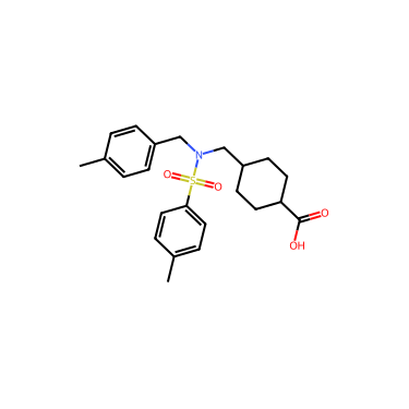 Cc1ccc(CN(CC2CCC(C(=O)O)CC2)S(=O)(=O)c2ccc(C)cc2)cc1